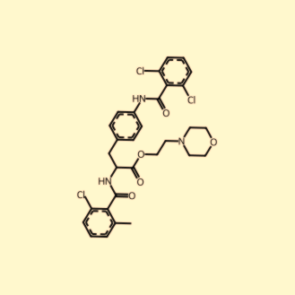 Cc1cccc(Cl)c1C(=O)NC(Cc1ccc(NC(=O)c2c(Cl)cccc2Cl)cc1)C(=O)OCCN1CCOCC1